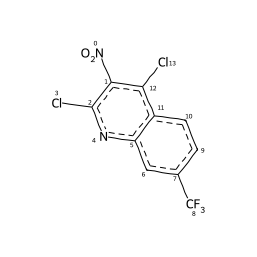 O=[N+]([O-])c1c(Cl)nc2cc(C(F)(F)F)ccc2c1Cl